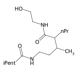 CCCC(C)C(=O)NCCC(C)C(CCC)C(=O)NCCO